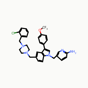 Nc1ccc(Cn2cc(-c3ccc(OC(F)(F)F)cc3)c3cc(CN4CCN(Cc5ccccc5Cl)CC4)ccc32)cn1